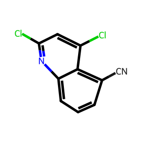 N#Cc1cccc2nc(Cl)cc(Cl)c12